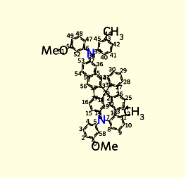 COc1cccc(N(c2cccc(C)c2)c2ccc3c(c2)C2(c4ccccc4-c4ccccc42)c2cc4cc(N(c5cccc(C)c5)c5cccc(OC)c5)ccc4cc2-3)c1